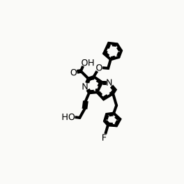 O=C(O)c1nc(C#CCO)c2cc(Cc3ccc(F)cc3)cnc2c1OCc1ccccc1